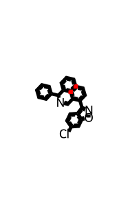 Clc1ccc2c(-c3ccccc3/C=N\C(c3ccccc3)c3ccccc3)noc2c1